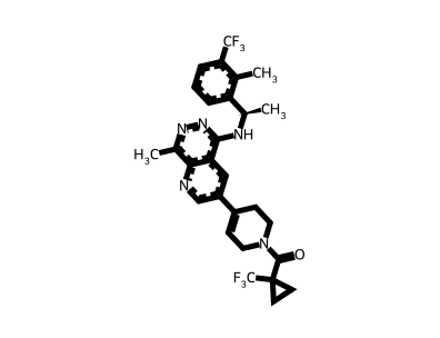 Cc1c([C@@H](C)Nc2nnc(C)c3ncc(C4=CCN(C(=O)C5(C(F)(F)F)CC5)CC4)cc23)cccc1C(F)(F)F